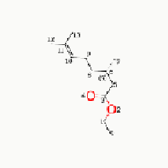 CCOC(=O)C[C@@H](C)CCC=C(C)C